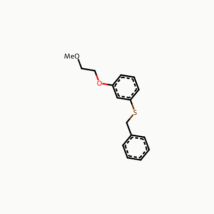 COCCOc1cccc(SCc2ccccc2)c1